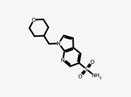 NS(=O)(=O)c1cnc2c(ccn2CC2CCOCC2)c1